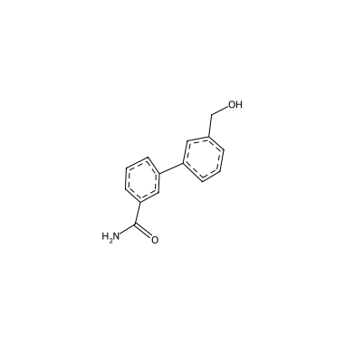 NC(=O)c1cccc(-c2cccc(CO)c2)c1